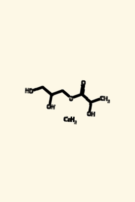 CC(O)C(=O)OCC(O)CO.[CaH2]